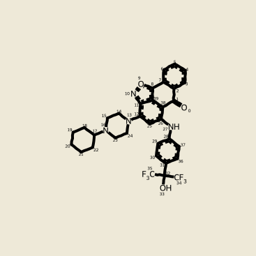 O=C1c2ccccc2-c2onc3c(N4CCN(C5CCCCC5)CC4)cc(Nc4ccc(C(O)(C(F)(F)F)C(F)(F)F)cc4)c1c23